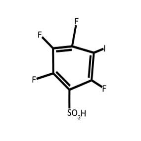 O=S(=O)(O)c1c(F)c(F)c(F)c(I)c1F